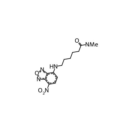 CNC(=O)CCCCCNc1ccc([N+](=O)[O-])c2nonc12